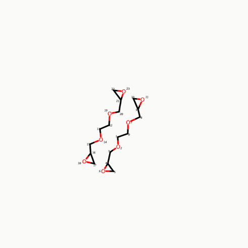 C(COCC1CO1)OCC1CO1.C(COCC1CO1)OCC1CO1